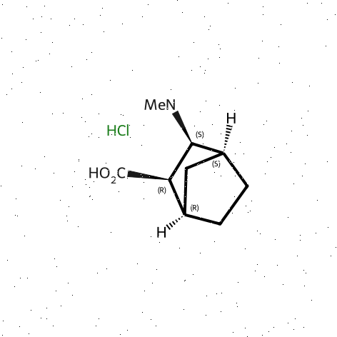 CN[C@H]1[C@H]2CC[C@H](C2)[C@H]1C(=O)O.Cl